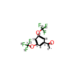 [CH2]C(=O)c1cc(OC(F)(F)F)cc(OC(F)(F)F)c1